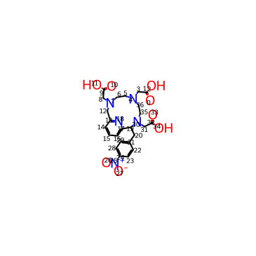 O=C(O)CN1CCN(CC(=O)O)Cc2cccc(n2)C(Cc2ccc([N+](=O)[O-])cc2)N(CC(=O)O)CC1